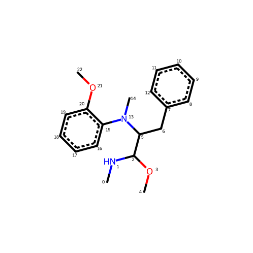 CNC(OC)C(Cc1ccccc1)N(C)c1ccccc1OC